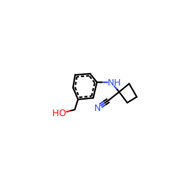 N#CC1(Nc2cccc(CO)c2)CCC1